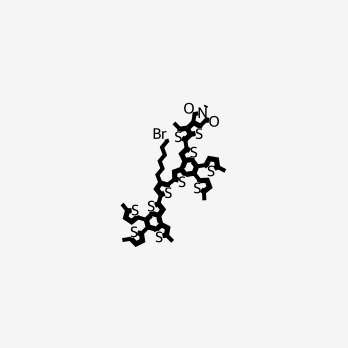 Cc1ccc(-c2c(-c3ccc(C)s3)c3sc(-c4cc(CCCCCCBr)c(-c5cc6c(s5)c(-c5ccc(C)s5)c(-c5ccc(C)s5)c5sc(-c7sc(C)c8c9c(sc78)C(=O)N(C)C9=O)cc56)s4)cc3c3cc(C)sc23)s1